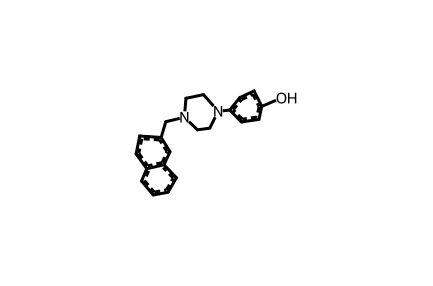 Oc1ccc(N2CCN(Cc3ccc4ccccc4c3)CC2)cc1